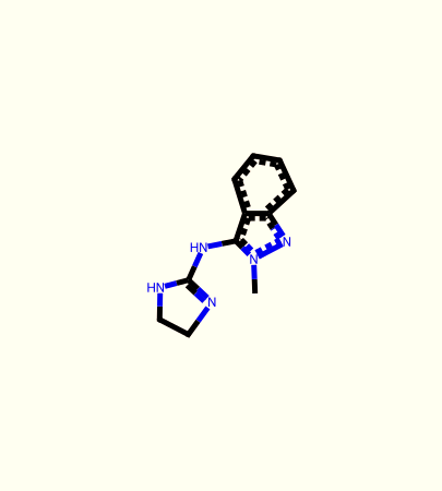 Cn1nc2ccccc2c1NC1=NCCN1